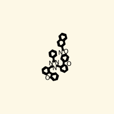 c1ccc(-c2nc(-c3cccc4oc5ccccc5c34)nc(-c3cccc4oc5cc6oc(-c7ccc8ccccc8c7)nc6cc5c34)n2)cc1